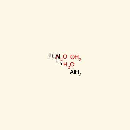 O.O.O.[AlH3].[AlH3].[Pt]